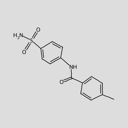 Cc1ccc(C(=O)Nc2ccc(S(N)(=O)=O)cc2)cc1